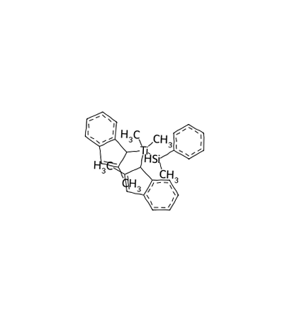 CC1=Cc2ccccc2[CH]1[Ti]([CH3])([CH3])([CH]1C(C)=Cc2ccccc21)[SiH](C)c1ccccc1